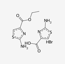 Br.CCOC(=O)c1csc(N)n1.Nc1nc(C(=O)O)cs1